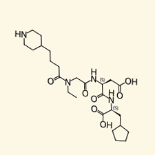 CCN(CC(=O)N[C@@H](CC(=O)O)C(=O)N[C@@H](CC1CCCC1)C(=O)O)C(=O)CCCC1CCNCC1